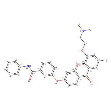 Cc1cc(OCCN(C)C)c2oc3cc(Oc4cccc(C(=O)Nc5ccccc5)c4)ccc3c(=O)c2c1